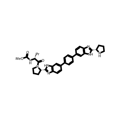 COC(=O)N[C@@H](C(=O)N1CCC[C@H]1c1nc2ccc(-c3ccc(-c4ccc5nc([C@@H]6CCCN6)[nH]c5c4)cc3)cc2[nH]1)C(C)C